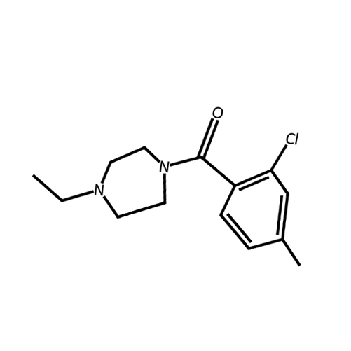 CCN1CCN(C(=O)c2ccc(C)cc2Cl)CC1